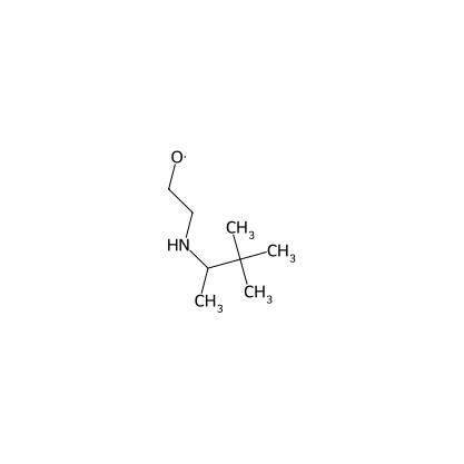 CC(NCC[O])C(C)(C)C